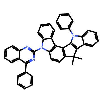 CC1(C)c2ccc3c(c2-c2c1c1ccccc1n2-c1ccccc1)c1ccccc1n3-c1nc(-c2ccccc2)c2ccccc2n1